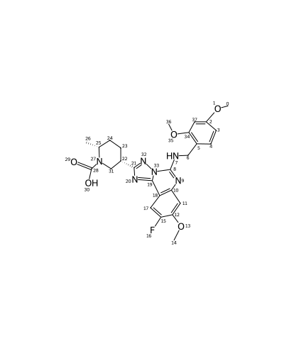 COc1ccc(CNc2nc3cc(OC)c(F)cc3c3nc([C@H]4CC[C@@H](C)N(C(=O)O)C4)nn23)c(OC)c1